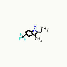 CCc1[nH]c2ccc(C(F)(F)F)cc2c1C